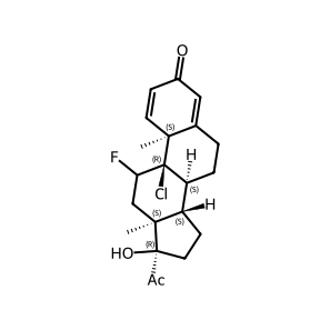 CC(=O)[C@@]1(O)CC[C@H]2[C@@H]3CCC4=CC(=O)C=C[C@]4(C)[C@@]3(Cl)C(F)C[C@@]21C